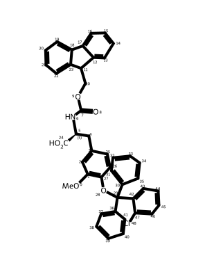 COc1cc(C[C@H](NC(=O)OCC2c3ccccc3-c3ccccc32)C(=O)O)ccc1OC(c1ccccc1)(c1ccccc1)c1ccccc1Cl